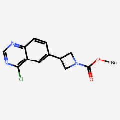 CC(C)(C)OC(=O)N1CC(c2ccc3ncnc(Cl)c3c2)C1